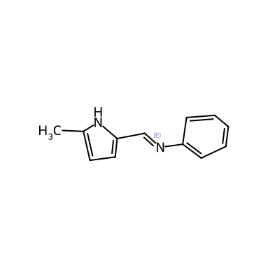 Cc1ccc(/C=N/c2ccccc2)[nH]1